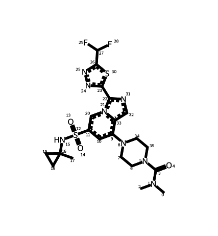 CN(C)C(=O)N1CCN(c2cc(S(=O)(=O)NC3(C)CC3)cn3c(-c4nnc(C(F)F)s4)ncc23)CC1